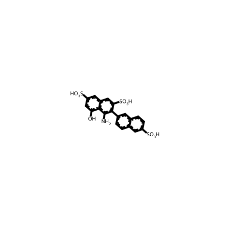 Nc1c(-c2ccc3cc(S(=O)(=O)O)ccc3c2)c(S(=O)(=O)O)cc2cc(S(=O)(=O)O)cc(O)c12